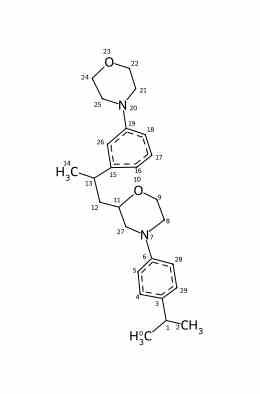 CC(C)c1ccc(N2CCOC(CC(C)c3cccc(N4CCOCC4)c3)C2)cc1